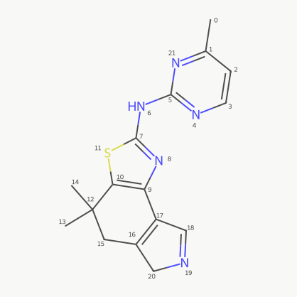 Cc1ccnc(Nc2nc3c(s2)C(C)(C)CC2=C3C=NC2)n1